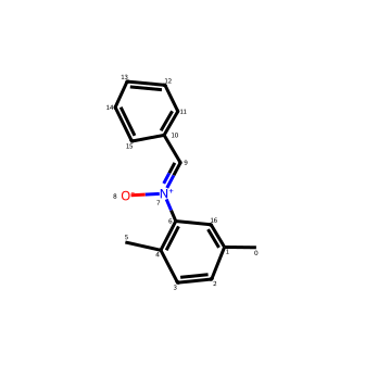 Cc1ccc(C)c([N+]([O-])=Cc2ccccc2)c1